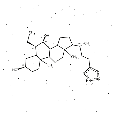 CC[C@@H]1C2C[C@H](O)CCC2(C)C2CCC3(C)C(CCC3[C@H](C)CCc3nn[nH]n3)C2[C@@H]1O